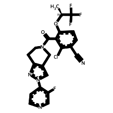 C[C@H](Oc1ccc(C#N)c(Cl)c1C(=O)N1CCc2nn(-c3ccncc3F)cc2C1)C(F)(F)F